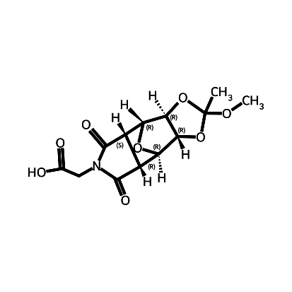 COC1(C)O[C@H]2[C@H](O1)[C@@H]1O[C@@H]2[C@H]2C(=O)N(CC(=O)O)C(=O)[C@@H]12